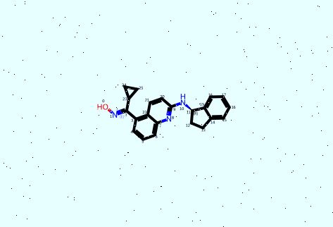 O/N=C(/c1cccc2nc(N[C@@H]3CCc4ccccc43)ccc12)C1CC1